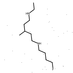 CCNCCC(C)CCNCCCCF